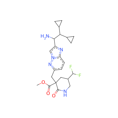 COC(=O)C1(Cc2ccc3nc(C(N)C(C4CC4)C4CC4)cn3n2)CC(C(F)F)CNC1=O